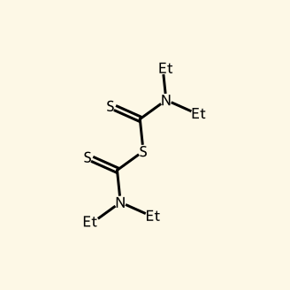 CCN(CC)C(=S)SC(=S)N(CC)CC